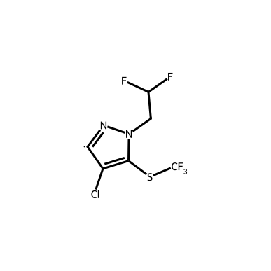 FC(F)Cn1n[c]c(Cl)c1SC(F)(F)F